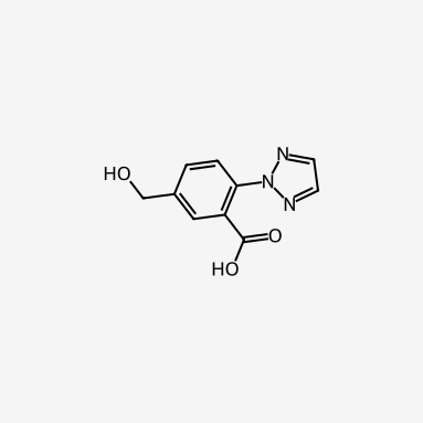 O=C(O)c1cc(CO)ccc1-n1nccn1